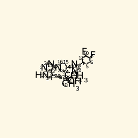 Cn1cc(-c2ccc(F)c(F)c2)nc1C1CCN(c2ncnc3[nH]cc(C#CC(C)(C)O)c23)CC1